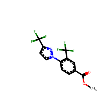 COC(=O)c1ccc(-n2ccc(C(F)(F)F)n2)c(C(F)(F)F)c1